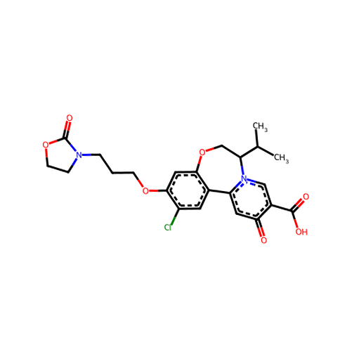 CC(C)C1COc2cc(OCCCN3CCOC3=O)c(Cl)cc2-c2cc(=O)c(C(=O)O)cn21